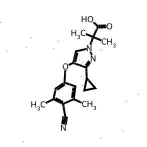 Cc1cc(Oc2cn(C(C)(C)C(=O)O)nc2C2CC2)cc(C)c1C#N